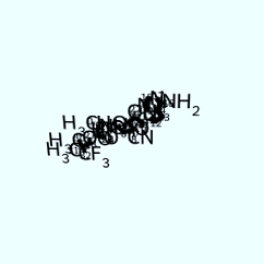 C[C@H](N[PH](=O)OC[C@@]1(C#N)O[C@@H](c2ccc3c(N)ncnn23)[C@H](O)[C@@H]1O)C(=O)OCC(C)(C)C(F)(F)F